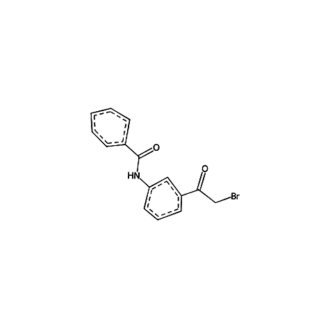 O=C(CBr)c1cccc(NC(=O)c2ccccc2)c1